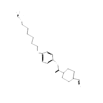 C=COCCCCCCOc1ccc(OC(=O)C2CCC(C=O)CC2)cc1